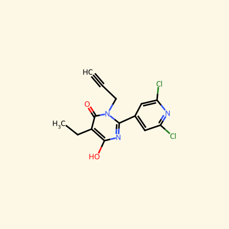 C#CCn1c(-c2cc(Cl)nc(Cl)c2)nc(O)c(CC)c1=O